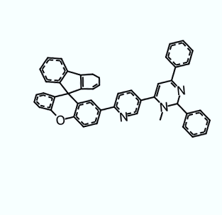 CN1C(c2ccc(-c3ccc4c(c3)C3(C5=C(CCC=C5)c5ccccc53)c3ccccc3O4)nc2)=CC(c2ccccc2)=NC1c1ccccc1